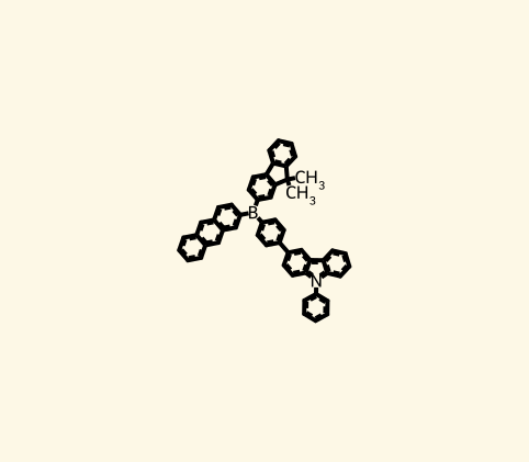 CC1(C)c2ccccc2-c2ccc(B(c3ccc(-c4ccc5c(c4)c4ccccc4n5-c4ccccc4)cc3)c3ccc4cc5ccccc5cc4c3)cc21